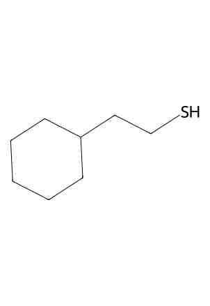 SCCC1CCCCC1